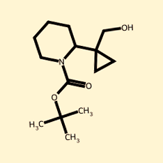 CC(C)(C)OC(=O)N1CCCCC1C1(CO)CC1